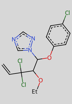 C=CC(Cl)(Cl)C(OCC)C(Oc1ccc(Cl)cc1)n1cncn1